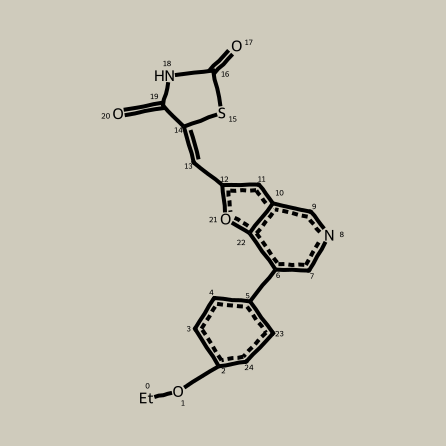 CCOc1ccc(-c2cncc3cc(/C=C4\SC(=O)NC4=O)oc23)cc1